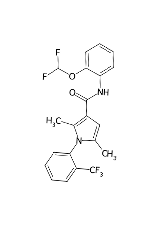 Cc1cc(C(=O)Nc2ccccc2OC(F)F)c(C)n1-c1ccccc1C(F)(F)F